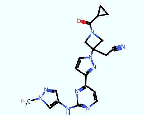 Cn1cc(Nc2nccc(-c3ccn(C4(CC#N)CN(C(=O)C5CC5)C4)n3)n2)cn1